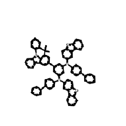 CC1(C)c2ccccc2-n2c3ccccc3c3cc(-c4cc(N(c5ccc(-c6ccccc6)cc5)c5ccc6oc7ccccc7c6c5)cc(N(c5ccc(-c6ccccc6)cc5)c5ccc6oc7ccccc7c6c5)c4)cc1c32